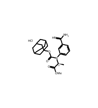 COC(=O)[C@H](C)N(C(=O)OC12CC3CC(CC(C3)C1)C2)c1cccc(C(=N)N)c1.Cl